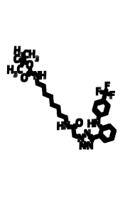 CC(C)(C)OC(=O)NCCCCCCCCNC(=O)Cn1nnc(-c2ccccc2Nc2ccc(C(F)(F)F)cc2)n1